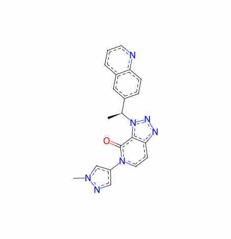 C[C@@H](c1ccc2ncccc2c1)n1nnc2ccn(-c3cnn(C)c3)c(=O)c21